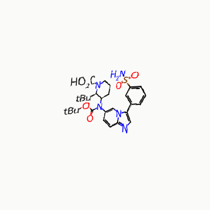 CC(C)(C)OC(=O)N(c1ccc2ncc(-c3cccc(S(N)(=O)=O)c3)n2c1)C1CCCN(C(=O)O)[C@@H]1C(C)(C)C